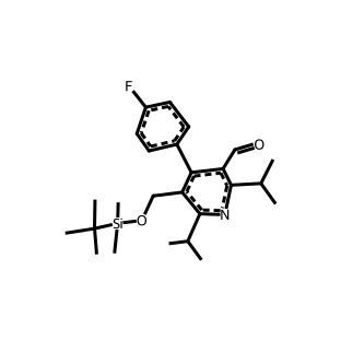 CC(C)c1nc(C(C)C)c(CO[Si](C)(C)C(C)(C)C)c(-c2ccc(F)cc2)c1C=O